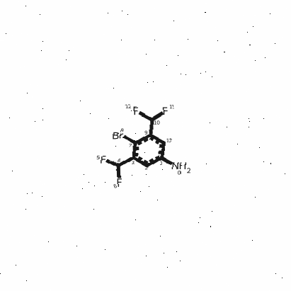 Nc1cc(C(F)F)c(Br)c(C(F)F)c1